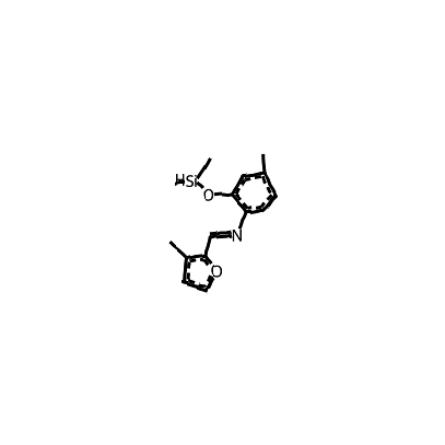 Cc1ccc(N=Cc2occc2C)c(O[SiH](C)C)c1